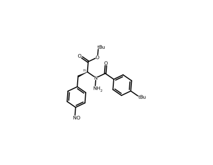 CC(C)(C)OC(=O)[C@H](Cc1ccc(N=O)cc1)N(N)C(=O)c1ccc(C(C)(C)C)cc1